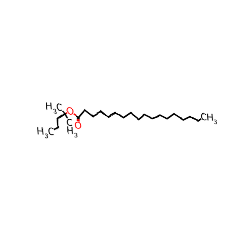 CCCCCCCCCCCCCCCCCC(=O)OC(C)(C)CCC